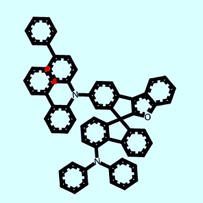 c1ccc(-c2ccc(N(c3ccc4c(c3)C3(c5ccccc5-c5c(N(c6ccccc6)c6ccccc6)cccc53)c3oc5ccccc5c3-4)c3ccccc3-c3ccccc3)cc2)cc1